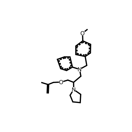 C=C(C)COCC(CN(Cc1ccc(OC)cc1)c1ccccc1)N1CCCC1